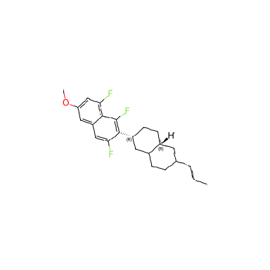 CCCC1CCC2C[C@H](c3c(F)cc4cc(OC)cc(F)c4c3F)CC[C@@H]2C1